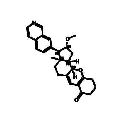 CO[C@@H]1C[C@H]2[C@@H]3OC4=C(C=C3CC[C@]2(C)[C@H]1c1ccc2ccncc2c1)C(=O)CCC4